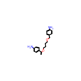 C=C(OCCCCOCc1ccc(N)cc1)c1ccc(N)cc1